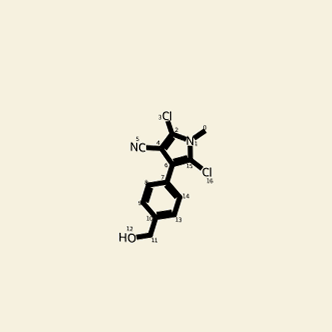 Cn1c(Cl)c(C#N)c(-c2ccc(CO)cc2)c1Cl